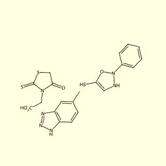 Cc1ccc2[nH]nnc2c1.O=C(O)CN1C(=O)CSC1=S.SC1=CNN(c2ccccc2)O1